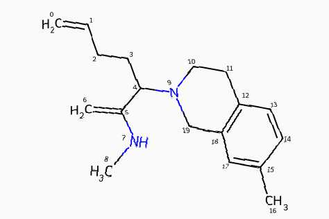 C=CCCC(C(=C)NC)N1CCc2ccc(C)cc2C1